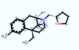 CC[C@@]12CCN(C[C@@H]3CCCO3)[C@H](Cc3ccc(C)cc31)[C@@H]2C